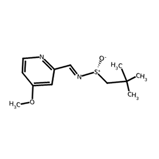 COc1ccnc(C=N[S@+]([O-])CC(C)(C)C)c1